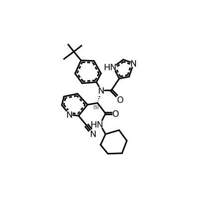 CC(C)(C)c1ccc(N(C(=O)c2cnc[nH]2)[C@H](C(=O)NC2CCCCC2)c2cccnc2C#N)cc1